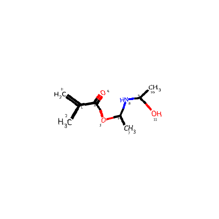 C=C(C)C(=O)OC(C)NC(C)O